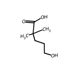 CC(C)(CCCO)C(=O)O